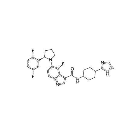 O=C(NC1CCC(c2ncn[nH]2)CC1)c1cnn2ccc(N3CCC[C@@H]3c3cc(F)ccc3F)c(F)c12